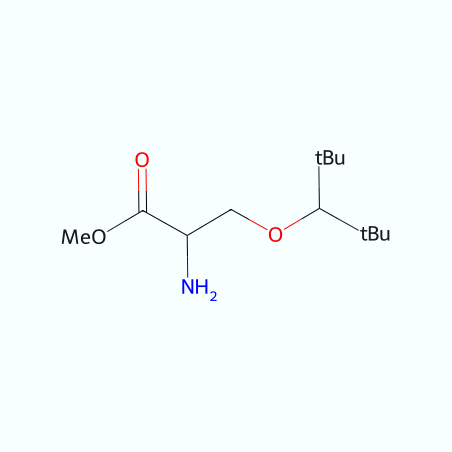 COC(=O)C(N)COC(C(C)(C)C)C(C)(C)C